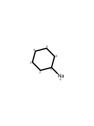 [Na][CH]1CCCCC1